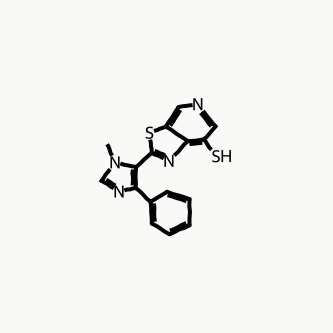 Cn1cnc(-c2ccccc2)c1-c1nc2c(S)cncc2s1